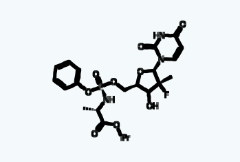 CC(C)OC(=O)[C@H](C)N[P@@](=O)(OC[C@H]1O[C@@H](n2ccc(=O)[nH]c2=O)[C@](C)(F)C1O)Oc1ccccc1